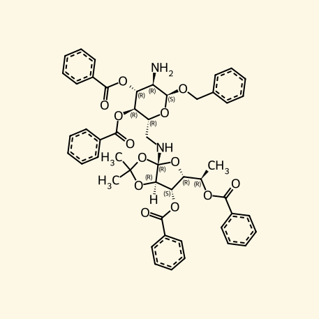 C[C@@H](OC(=O)c1ccccc1)[C@H]1O[C@@]2(NC[C@H]3O[C@H](OCc4ccccc4)[C@H](N)[C@@H](OC(=O)c4ccccc4)[C@@H]3OC(=O)c3ccccc3)OC(C)(C)O[C@@H]2[C@H]1OC(=O)c1ccccc1